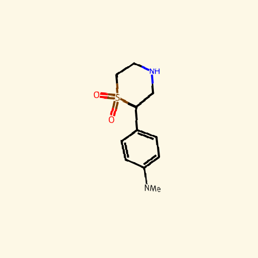 CNc1ccc(C2CNCCS2(=O)=O)cc1